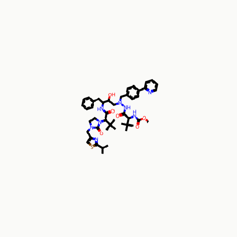 COC(=O)NC(C(=O)NN(Cc1ccc(-c2ccccn2)cc1)CC(O)C(Cc1ccccc1)NC(=O)C(N1CCN(Cc2csc(C(C)C)n2)C1=O)C(C)(C)C)C(C)(C)C